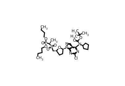 CCCCOP(=O)(OCCCC)[C@@H](C)S(=O)(=O)C[C@@H]1CC[C@H](n2ncc3c(N(C(=O)OC(C)(C)C)C4CCCC4)nc(Cl)nc32)O1